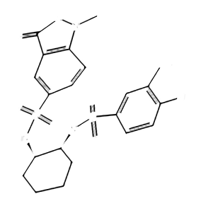 Cn1sc(=O)c2cc(S(=O)(=O)N[C@@H]3CCCC[C@@H]3NS(=O)(=O)c3ccc(Cl)c(C(F)(F)F)c3)ccc21